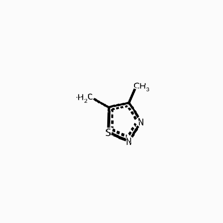 [CH2]c1snnc1C